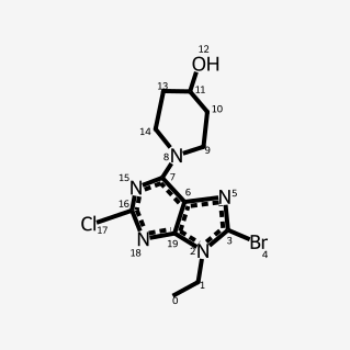 CCn1c(Br)nc2c(N3CCC(O)CC3)nc(Cl)nc21